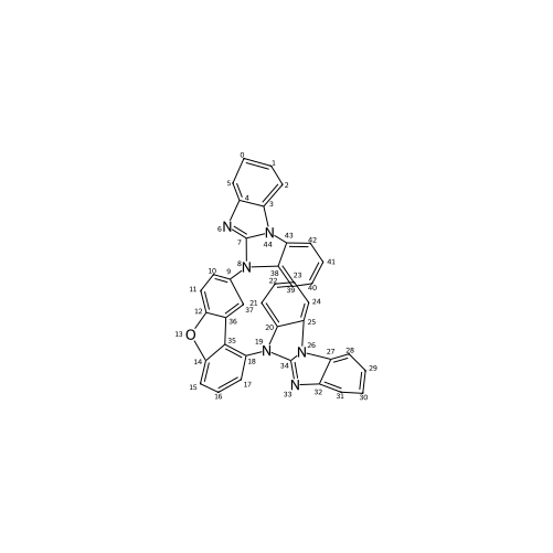 c1ccc2c(c1)nc1n(-c3ccc4oc5cccc(-n6c7ccccc7n7c8ccccc8nc67)c5c4c3)c3ccccc3n21